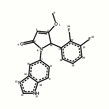 COC1=CC(=O)N(c2ccc3[nH]cnc3c2)C1c1cccc(F)c1F